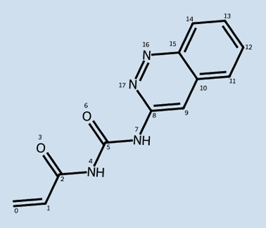 C=CC(=O)NC(=O)Nc1cc2ccccc2nn1